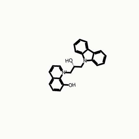 Oc1cccc2ccc[n+](C[C@H](O)Cn3c4ccccc4c4ccccc43)c12